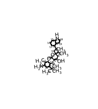 Cc1cc(SC2=C(O)CC(CCc3cccc4[nH]ccc34)(C(C)C)OC2=O)c(C(C)(C)C)cc1N